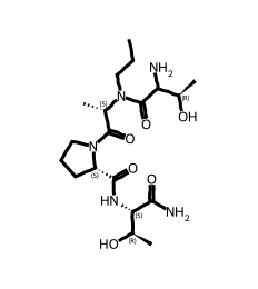 CCCN(C(=O)C(N)[C@@H](C)O)[C@@H](C)C(=O)N1CCC[C@H]1C(=O)N[C@H](C(N)=O)[C@@H](C)O